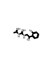 [2H]c1ccccc1C([2H])CNC(=N)NC(C)=N